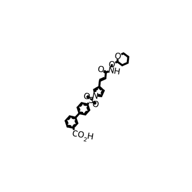 O=C(/C=C/c1ccn(S(=O)(=O)c2ccc(-c3cccc(C(=O)O)c3)cc2)c1)NOC1CCCCO1